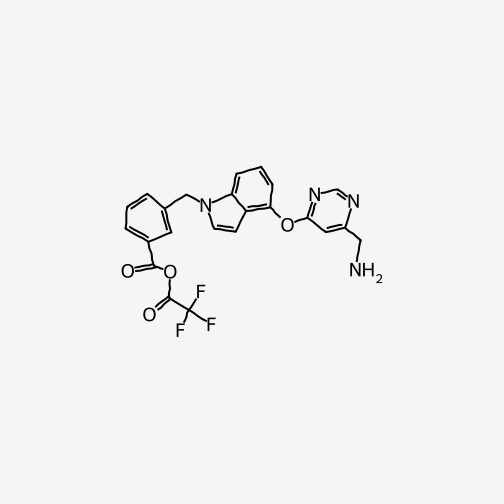 NCc1cc(Oc2cccc3c2ccn3Cc2cccc(C(=O)OC(=O)C(F)(F)F)c2)ncn1